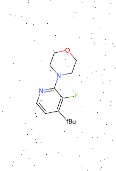 CC(C)(C)c1ccnc(N2CCOCC2)c1F